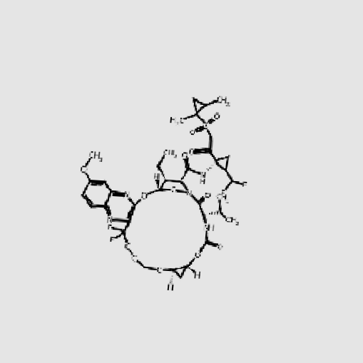 CC[C@@H]1[C@@H]2CN(C(=O)[C@H](C(C)C)NC(=O)O[C@@H]3C[C@H]3CCCCC(F)(F)c3nc4ccc(OC)cc4nc3O2)[C@@H]1C(=O)N[C@]1(C(=O)CS(=O)(=O)C2(C)CC2C)CC1C(F)F